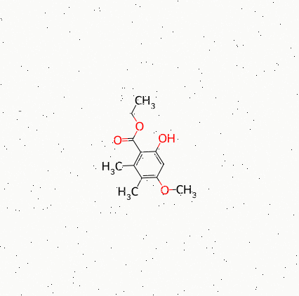 CCOC(=O)c1c(O)cc(OC)c(C)c1C